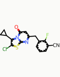 N#Cc1cccc(Cc2cc(=O)n3c(C4CC4)c(Cl)sc3n2)c1F